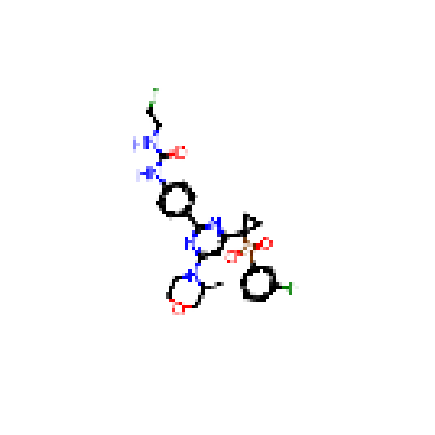 C[C@H]1COCCN1c1cc(C2(S(=O)(=O)c3cccc(F)c3)CC2)nc(-c2ccc(NC(=O)NCCF)cc2)n1